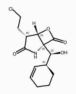 O=C1N[C@@]2([C@@H](O)[C@@H]3C=CCCC3)C(=O)O[C@H]2[C@H]1CCCl